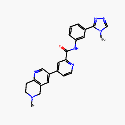 CCC(C)n1cnnc1-c1cccc(NC(=O)c2cc(-c3cnc4c(c3)CN(C(C)C)CC4)ccn2)c1